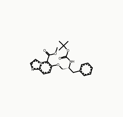 COC(=O)c1c(OC[C@@H](Cc2ccccc2)NC(=O)OC(C)(C)C)ccc2nccn12